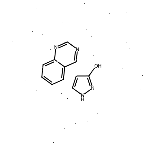 Oc1cc[nH]n1.c1ccc2ncncc2c1